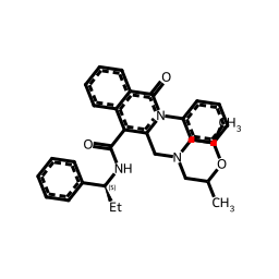 CC[C@H](NC(=O)c1c(CN2CC(C)OC(C)C2)n(-c2ccccc2)c(=O)c2ccccc12)c1ccccc1